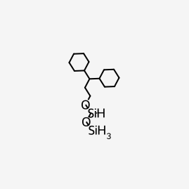 [SiH3]O[SiH]OCCC(C1CCCCC1)C1CCCCC1